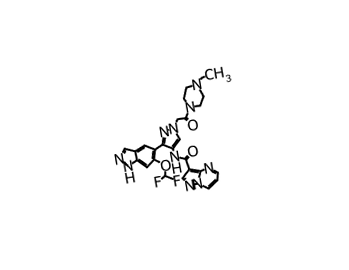 CCN1CCN(C(=O)Cn2cc(NC(=O)c3cnn4cccnc34)c(-c3cc4cn[nH]c4cc3OC(F)F)n2)CC1